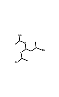 CCCCC(C)OB(OC(C)CCCC)OC(C)CCCC